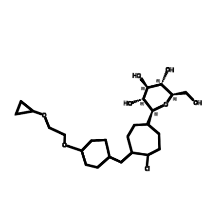 OC[C@H]1O[C@@H](C2CCC(Cl)C(CC3CCC(OCCOC4CC4)CC3)CC2)[C@H](O)[C@@H](O)[C@@H]1O